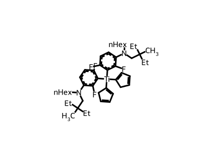 CCCCCCN(CC(C)(CC)CC)c1ccc(F)[c]([Ti]([C]2=CC=CC2)([C]2=CC=CC2)[c]2c(F)ccc(N(CCCCCC)CC(C)(CC)CC)c2F)c1F